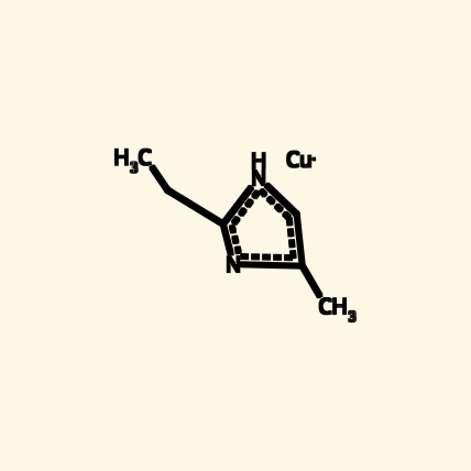 CCc1nc(C)c[nH]1.[Cu]